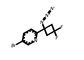 [N-]=[N+]=NC1(c2ccc(Br)cn2)CC(F)(F)C1